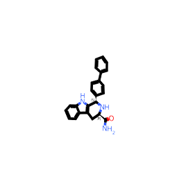 NC(=O)[C@H]1Cc2c([nH]c3ccccc23)[C@H](c2ccc(-c3ccccc3)cc2)N1